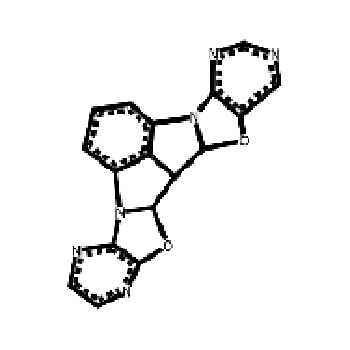 c1cc2c3c(c1)N1c4nccnc4OC1C3C1Oc3cncnc3N21